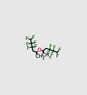 C=C(CC(F)(F)C(F)(F)C(F)F)OC(=C)CC(F)(F)C(F)(F)C(F)F